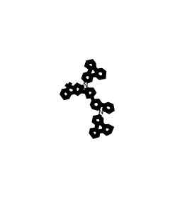 CC1(C)c2ccccc2-c2cc3c4cc(-c5ccc6c(c5)c5ccccc5n6-c5ccc6c7ccccc7c7ccccc7c6c5)ccc4n(-c4ccc5c6ccccc6c6ccccc6c5c4)c3cc21